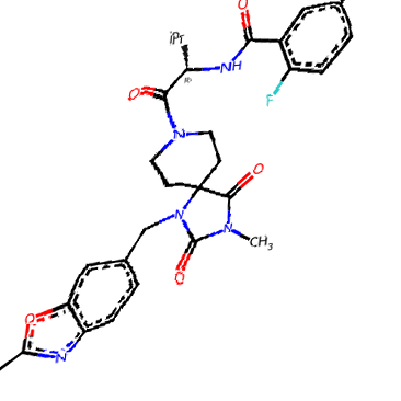 Cc1ccc(F)c(C(=O)N[C@@H](C(=O)N2CCC3(CC2)C(=O)N(C)C(=O)N3Cc2ccc3nc(C)oc3c2)C(C)C)c1